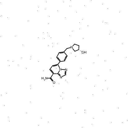 NC(=O)c1ccc(-c2ccc(CN3CC[C@H](O)C3)cc2)n2n[c]nc12